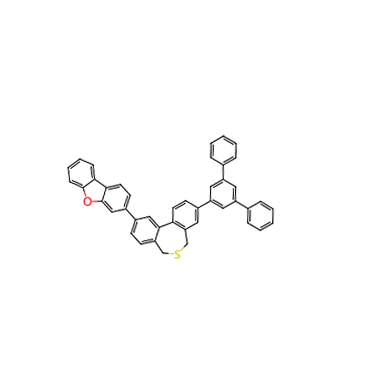 c1ccc(-c2cc(-c3ccccc3)cc(-c3ccc4c(c3)CSCc3ccc(-c5ccc6c(c5)oc5ccccc56)cc3-4)c2)cc1